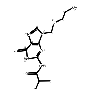 CC(C)C(=O)Nc1nc2c(ncn2COCCO)c(=O)[nH]1